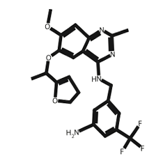 COc1cc2nc(C)nc(NCc3cc(N)cc(C(F)(F)F)c3)c2cc1OC(C)C1=CCCO1